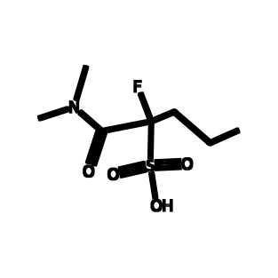 CCCC(F)(C(=O)N(C)C)S(=O)(=O)O